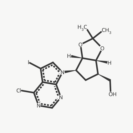 CC1(C)O[C@@H]2[C@@H](CO)C[C@@H](n3cc(I)c4c(Cl)ncnc43)[C@@H]2O1